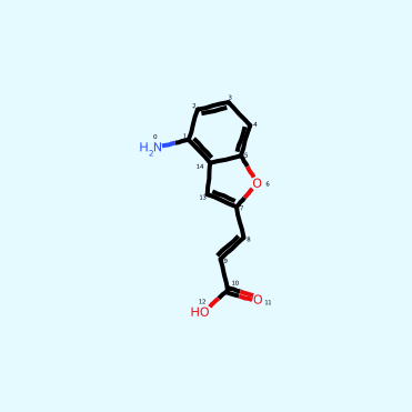 Nc1cccc2oc(C=CC(=O)O)cc12